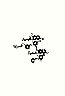 CCOc1cc2ncc(C#N)c(Nc3ccc(OCc4ccccn4)c(Cl)c3)c2cc1NC(=O)C=CCN(C)C.CCOc1cc2ncc(C#N)c(Nc3ccc(OCc4ccccn4)c(Cl)c3)c2cc1NC(=O)C=CCN(C)C.O.O=C(O)/C=C\C(=O)O